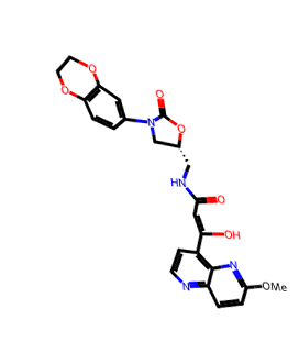 COc1ccc2nccc(/C(O)=C/C(=O)NC[C@@H]3CN(c4ccc5c(c4)OCCO5)C(=O)O3)c2n1